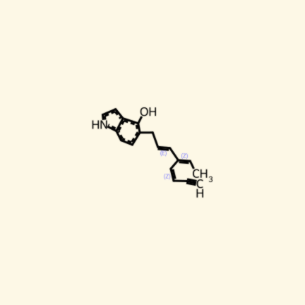 C#C\C=C/C(=C\C)/C=C/Cc1ccc2[nH]ccc2c1O